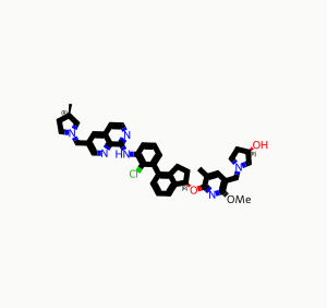 COc1nc(O[C@@H]2CCc3c(-c4cccc(Nc5nccc6cc(CN7CC[C@@H](C)C7)cnc56)c4Cl)cccc32)c(C)cc1CN1CC[C@@H](O)C1